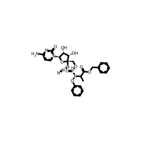 CC(C(=O)OCc1ccccc1)N(Oc1ccccc1)[PH](=O)OC[C@@]1(N=[N+]=[N-])O[C@@H](n2ccc(N)nc2=O)[C@H](O)[C@@H]1O